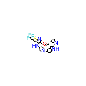 N#Cc1cc2cc(CN3CCC(Nc4c(COCCCC5CCCC5)cnc5sc(CC(F)(F)F)cc45)CC3)ccc2[nH]1